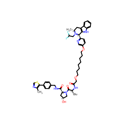 Cc1ncsc1-c1ccc(CNC(=O)[C@@H]2C[C@@H](O)CN2C(=O)[C@@H](NC(=O)COCCCCCCCCOc2ccc([C@@H]3c4[nH]c5ccccc5c4C[C@@H](C)N3CC(F)F)nc2)C(C)(C)C)cc1